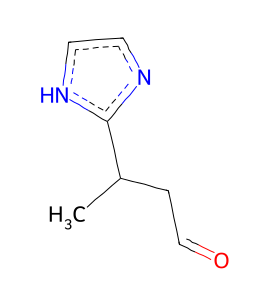 CC(CC=O)c1ncc[nH]1